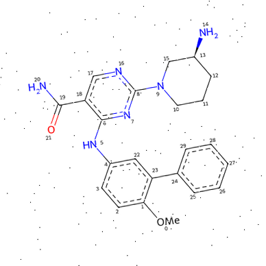 COc1ccc(Nc2nc(N3CCC[C@H](N)C3)ncc2C(N)=O)cc1-c1ccccc1